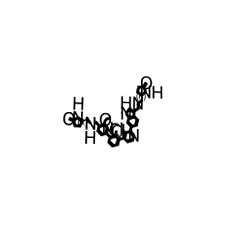 COc1nc(-c2cccc(-c3ccnc(-c4ccc5c(CNC[C@H]6CCC(=O)N6)cn(C)c5c4)c3Cl)c2Cl)ccc1CNC[C@H]1CCC(=O)N1